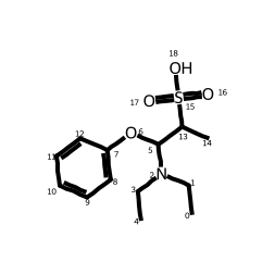 CCN(CC)C(Oc1ccccc1)C(C)S(=O)(=O)O